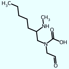 CCCCCC(CN(CC=O)C(=O)O)NC